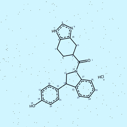 Cl.O=C(C1CCc2[nH]cnc2C1)N1CC(c2ccc(O)cc2)c2ccccc21